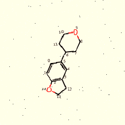 c1cc2c(cc1C1CCOCC1)CCO2